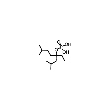 CCC(CCC(C)C)(CC(C)C)OP(=O)(O)O